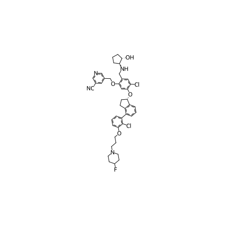 N#Cc1cncc(COc2cc(O[C@H]3CCc4c(-c5cccc(OCCCN6CCC(F)CC6)c5Cl)cccc43)c(Cl)cc2CN[C@H]2CCC[C@@H]2O)c1